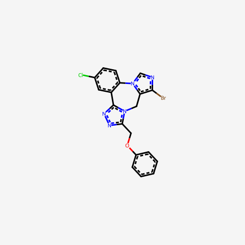 Clc1ccc2c(c1)-c1nnc(COc3ccccc3)n1Cc1c(Br)ncn1-2